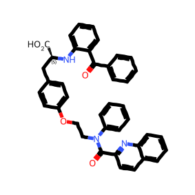 O=C(c1ccccc1)c1ccccc1N[C@@H](Cc1ccc(OCCN(C(=O)c2ccc3ccccc3n2)c2ccccc2)cc1)C(=O)O